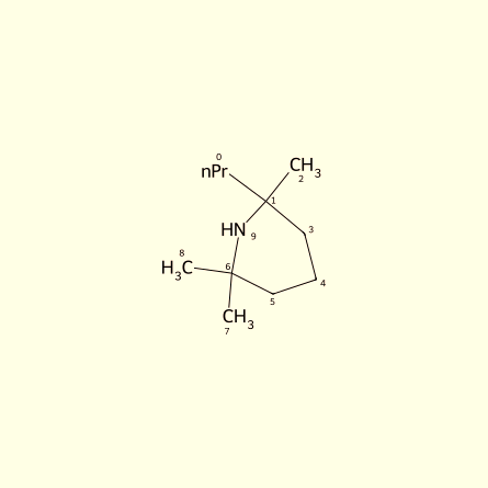 CCCC1(C)CCCC(C)(C)N1